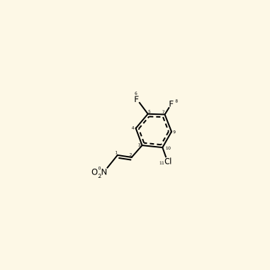 O=[N+]([O-])/C=C/c1cc(F)c(F)cc1Cl